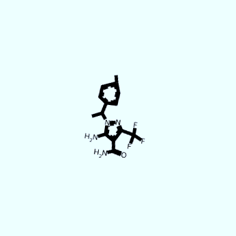 Cc1ccc(C(C)n2nc(C(F)(F)F)c(C(N)=O)c2N)cc1